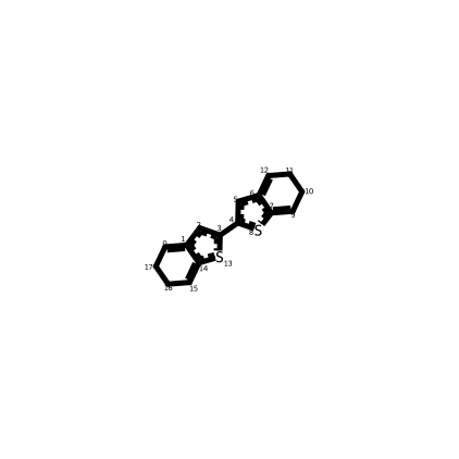 C1=c2cc(-c3cc4c(s3)=CCCC=4)sc2=CCC1